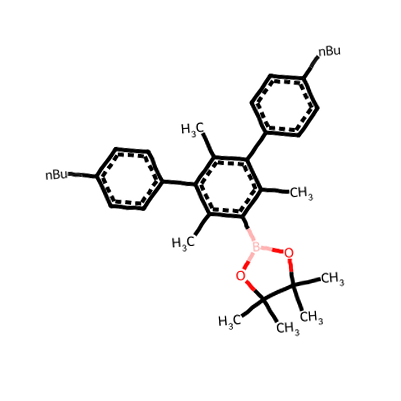 CCCCc1ccc(-c2c(C)c(B3OC(C)(C)C(C)(C)O3)c(C)c(-c3ccc(CCCC)cc3)c2C)cc1